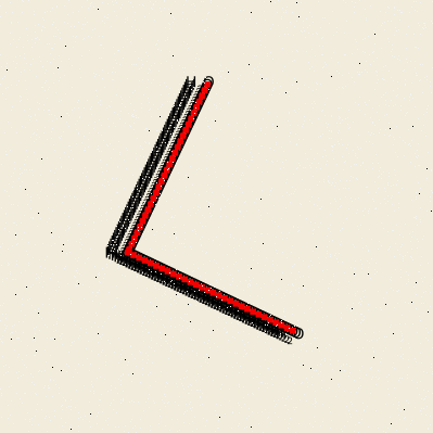 O.O.O.O.O.O.O.O.O.O.O.O.O.O.O.O.O.O.O.O.O.O.O.O.O.O.O.O.O.O.O.O.O.O.O.O.O.O.O.O.O.O.O.O.O.O.O.O.O.O.O.O.O.O.O.O.O.O.O.O.O.O.O.O.O.O.O.O.O.O.O.O.O.O.O.O.O.O.O.O.O.O.O.O.O.O.O.O.O.O.O.O.O.O.O.O.O.O.O.O.O.O.O.O.O.O.O.O.O.O.O.O.O.O.O.O.O.O.O.O.O